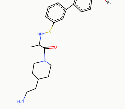 CCOc1ccc(-c2cccc(SNC(C)C(=O)N3CCC(CCN)CC3)c2)cc1